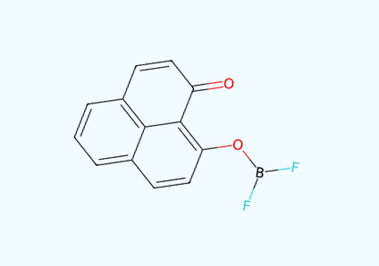 O=C1C=Cc2cccc3ccc(OB(F)F)c1c23